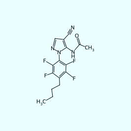 CCCCc1c(F)c(F)c(-n2ncc(C#N)c2NC(C)=O)c(F)c1F